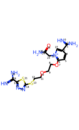 N=C(N)c1ccc(OCCOCCSc2nnc(C(=N)N)s2)[n+](CC(N)=O)c1